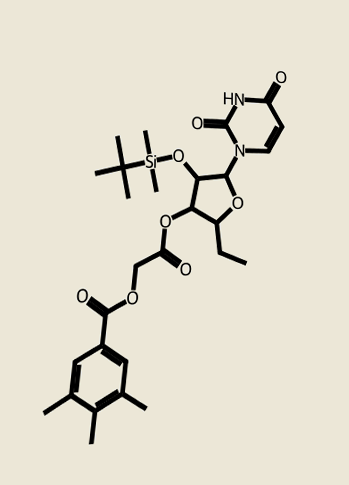 CCC1OC(n2ccc(=O)[nH]c2=O)C(O[Si](C)(C)C(C)(C)C)C1OC(=O)COC(=O)c1cc(C)c(C)c(C)c1